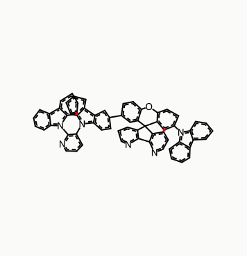 c1cnc(-n2c3ccccc3c3ccccc32)c(-n2c3ccccc3c3cc(-c4ccc5c(c4)C4(c6cc(-n7c8ccccc8c8ccccc87)ccc6O5)c5cccnc5-c5ncccc54)ccc32)c1